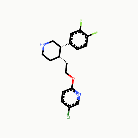 Fc1ccc([C@H]2CNCC[C@H]2CCOc2ccc(Cl)cn2)cc1F